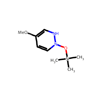 COC1=CNN(O[Si](C)(C)C)C=C1